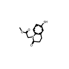 COC(=O)CN1C(=O)CCc2cc(S)ccc21